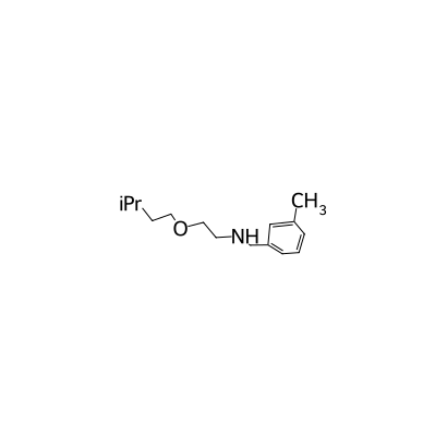 Cc1cccc(CNCCOCCC(C)C)c1